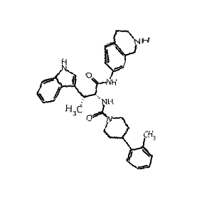 Cc1ccccc1C1CCN(C(=O)N[C@@H](C(=O)Nc2ccc3c(c2)CNCC3)[C@H](C)c2c[nH]c3ccccc23)CC1